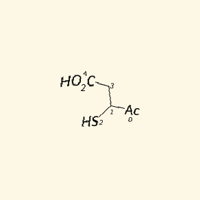 CC(=O)C(S)CC(=O)O